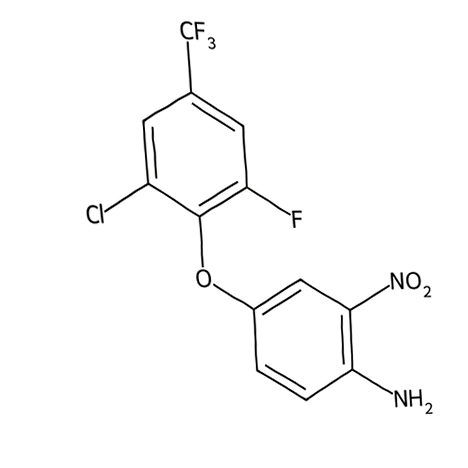 Nc1ccc(Oc2c(F)cc(C(F)(F)F)cc2Cl)cc1[N+](=O)[O-]